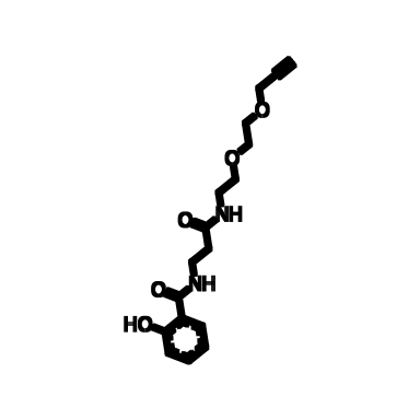 C#CCOCCOCCNC(=O)CCNC(=O)c1ccccc1O